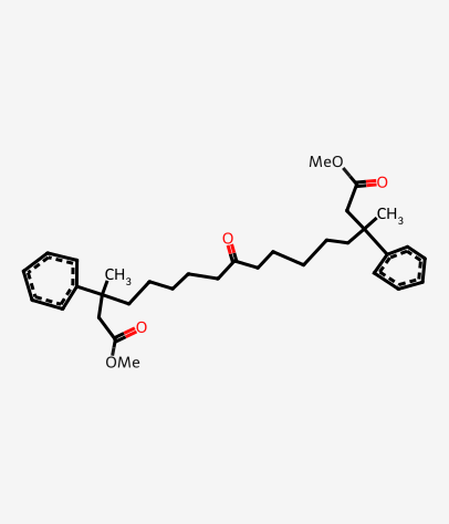 COC(=O)CC(C)(CCCCCC(=O)CCCCCC(C)(CC(=O)OC)c1ccccc1)c1ccccc1